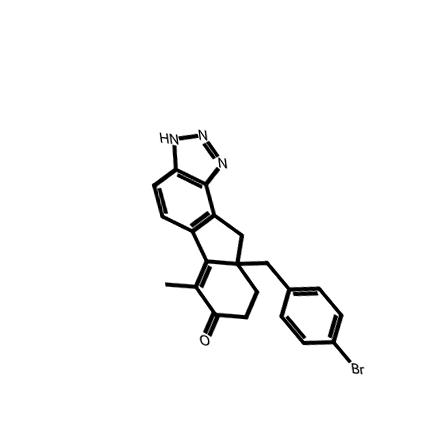 CC1=C2c3ccc4[nH]nnc4c3CC2(Cc2ccc(Br)cc2)CCC1=O